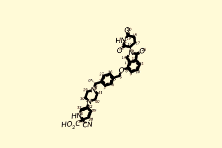 C[C@H](c1ccc(COc2cccc3c2CN([C@H]2CCC(=O)NC2=O)C3=O)cc1)N1CCN(C2=CNC(C#N)(C(=O)O)C=C2)CC1